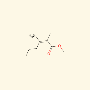 CCCC([SiH3])=C(C)C(=O)OC